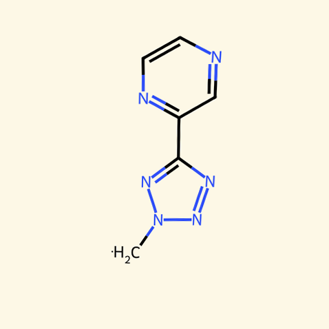 [CH2]n1nnc(-c2cnccn2)n1